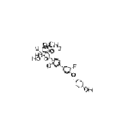 C[C@@](CCn1ccc(-c2ccc(OC[C@H]3CC[C@@H](O)CC3)c(F)c2)cc1=O)(C(=O)NO)S(C)(=O)=O